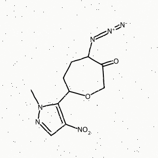 Cn1ncc([N+](=O)[O-])c1C1CCC(N=[N+]=[N-])C(=O)CO1